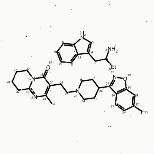 CCC(N)Cc1c[nH]c2ccccc12.Cc1nc2n(c(=O)c1CCN1CCC(c3noc4cc(F)ccc34)CC1)CCCC2